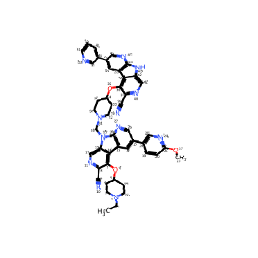 CCN1CCC(Oc2c(C#N)ncc3c2c2cc(-c4ccc(OC)nc4)cnc2n3CN2CCC(Oc3c(C#N)ncc4[nH]c5ncc(-c6cccnc6)cc5c34)CC2)CC1